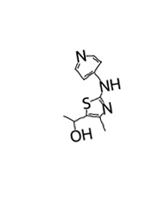 Cc1nc(Nc2ccncc2)sc1C(C)O